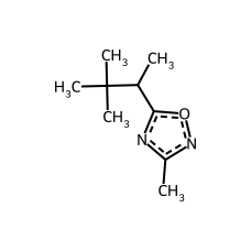 Cc1noc(C(C)C(C)(C)C)n1